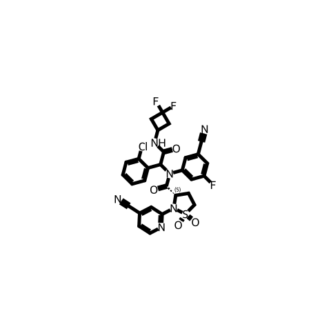 N#Cc1cc(F)cc(N(C(=O)[C@@H]2CCS(=O)(=O)N2c2cc(C#N)ccn2)C(C(=O)NC2CC(F)(F)C2)c2ccccc2Cl)c1